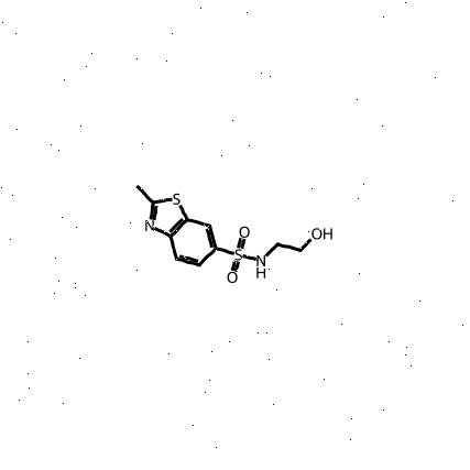 Cc1nc2ccc(S(=O)(=O)NCCO)cc2s1